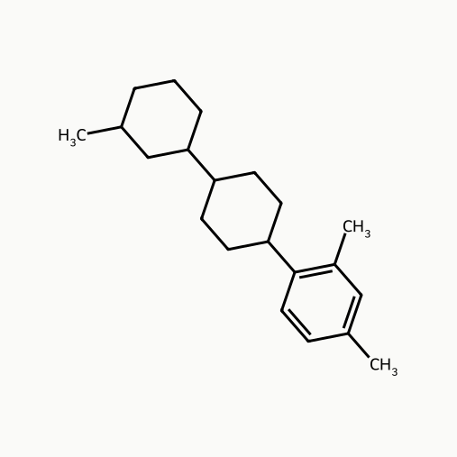 Cc1ccc(C2CCC(C3CCCC(C)C3)CC2)c(C)c1